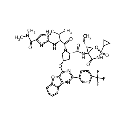 C=C[C@@H]1C[C@]1(NC(=O)[C@@H]1C[C@@H](Oc2nc(-c3ccc(C(F)(F)F)cc3)nc3c2oc2ccccc23)CN1C(=O)[C@@H](Nc1nc(C(=O)N(C)C)cs1)C(C)C)C(=O)NS(=O)(=O)C1CC1